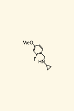 COc1ccc(CNC2CC2)c(F)c1